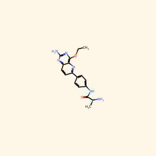 CCOc1nc(N)nc2ccc(-c3ccc(NC(=O)[C@H](C)N)cc3)nc12